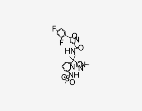 Cn1cc(C(C)(CNC(=O)c2cc(-c3ccc(F)cc3F)on2)c2cccc(NS(C)(=O)=O)n2)cn1